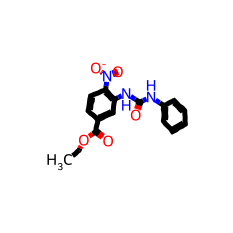 CCOC(=O)c1ccc([N+](=O)[O-])c(NC(=O)Nc2ccccc2)c1